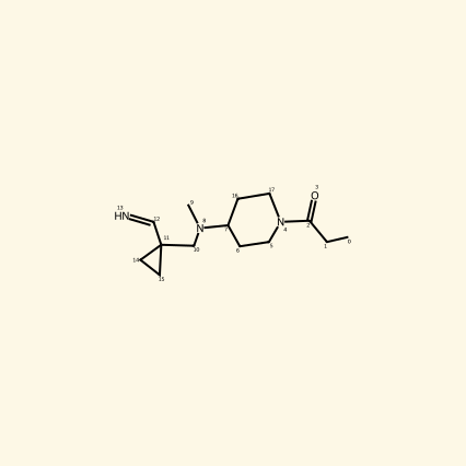 CCC(=O)N1CCC(N(C)CC2(C=N)CC2)CC1